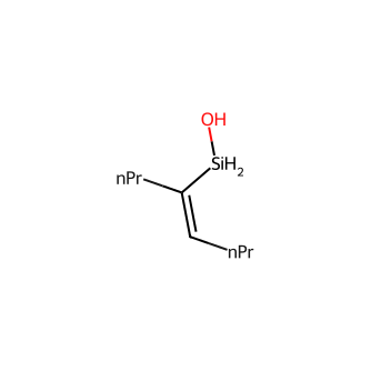 CCCC=C(CCC)[SiH2]O